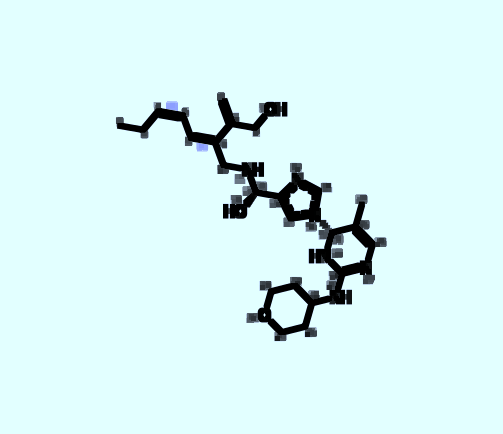 C=C(CO)/C(=C\C=C/CC)CN[C@H](O)c1cn([C@H]2NC(NC3CCOCC3)=NC=C2C)cn1